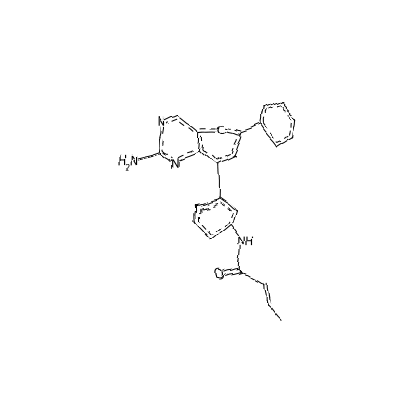 C/C=C/C(=O)Nc1cccc(-c2cc(-c3ccccc3)cc3cnc(N)nc23)c1